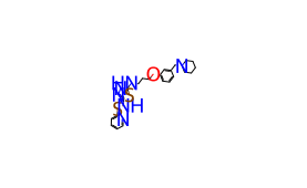 c1ccc(SNc2nnc(NCCCOc3cccc(CN4CCCCC4)c3)s2)nc1